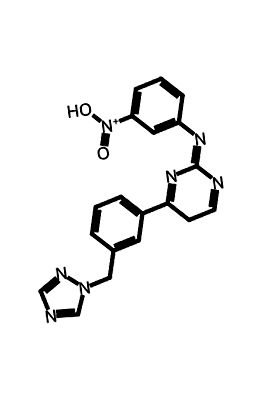 O=[N+](O)c1cccc(/N=C2/N=CCC(c3cccc(Cn4cncn4)c3)=N2)c1